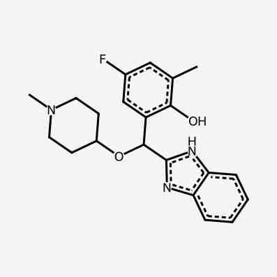 Cc1cc(F)cc(C(OC2CCN(C)CC2)c2nc3ccccc3[nH]2)c1O